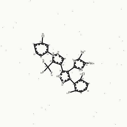 [2H]c1nc(-c2c(-c3c(F)cccc3Cl)noc2-c2cnn(-c3cccc(Cl)c3)c2C(F)(F)F)sc1[2H]